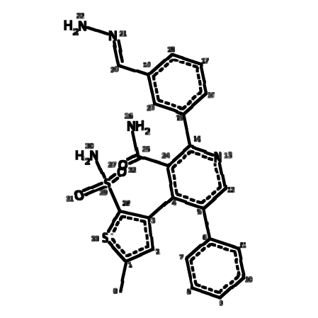 Cc1cc(-c2c(-c3ccccc3)cnc(-c3cccc(C=NN)c3)c2C(N)=O)c(S(N)(=O)=O)s1